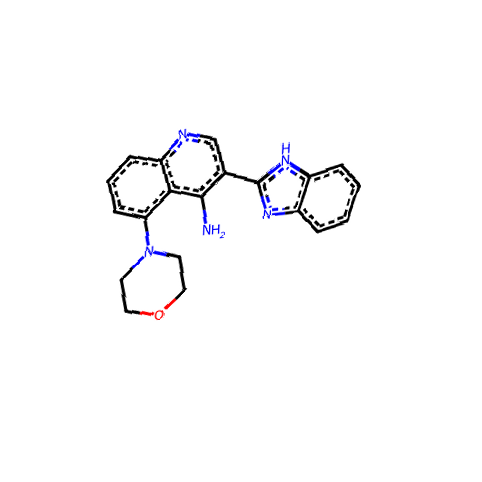 Nc1c(-c2nc3ccccc3[nH]2)cnc2cccc(N3CCOCC3)c12